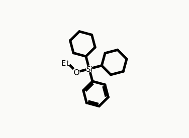 CCO[Si](c1ccccc1)(C1CCCCC1)C1CCCCC1